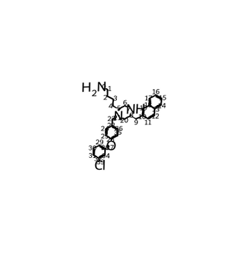 NCCCC[C@H]1CN[C@@H](Cc2ccc3ccccc3c2)CN1Cc1ccc(Oc2cccc(Cl)c2)cc1